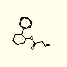 C=CCC(=O)OC1CCCCC1c1ccccc1